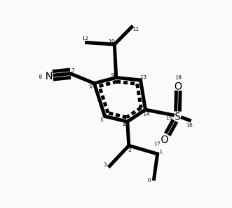 CCC(C)c1cc(C#N)c(C(C)C)cc1S(C)(=O)=O